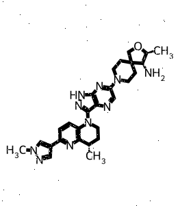 C[C@@H]1OCC2(CCN(c3cnc4c(N5CC[C@H](C)c6nc(-c7cnn(C)c7)ccc65)n[nH]c4n3)CC2)[C@@H]1N